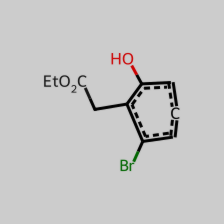 CCOC(=O)Cc1c(O)cccc1Br